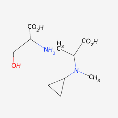 CC(C(=O)O)N(C)C1CC1.NC(CO)C(=O)O